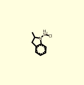 CC1Cc2ccccc2N1[SiH2]Cl